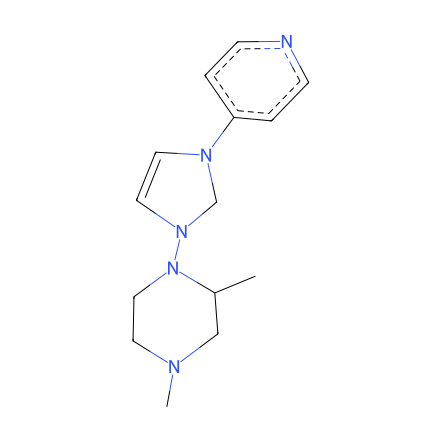 CC1CN(C)CCN1N1C=CN(c2ccncc2)C1